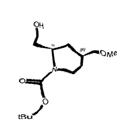 CO[C@@H]1C[C@H](CO)N(C(=O)OC(C)(C)C)C1